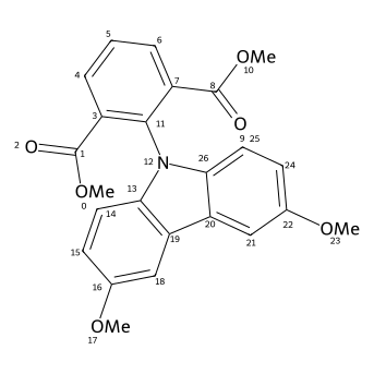 COC(=O)c1cccc(C(=O)OC)c1-n1c2ccc(OC)cc2c2cc(OC)ccc21